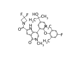 Cc1cc(F)cc(C)c1Oc1ccc(C(C)(C)O)cc1-c1cn(C)c(=O)c2cc(C(=O)N3CC(F)(F)C3)[nH]c12